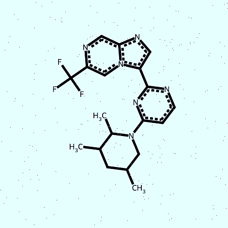 CC1CC(C)C(C)N(c2ccnc(-c3cnc4cnc(C(F)(F)F)cn34)n2)C1